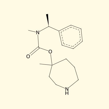 C[C@@H](c1ccccc1)N(C)C(=O)OC1(C)CCCNCC1